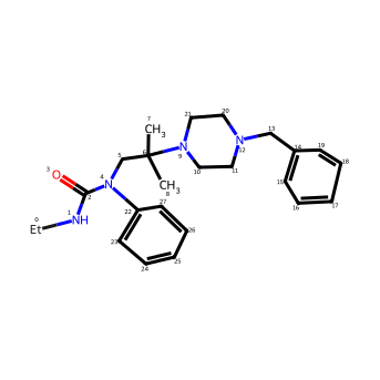 CCNC(=O)N(CC(C)(C)N1CCN(Cc2ccccc2)CC1)c1ccccc1